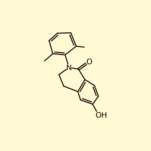 Cc1cccc(C)c1N1CCc2cc(O)ccc2C1=O